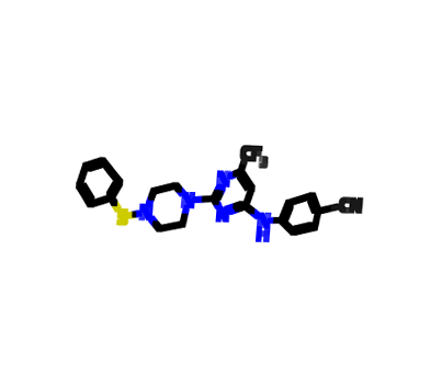 N#Cc1ccc(Nc2cc(C(F)(F)F)nc(N3CCN(Sc4ccccc4)CC3)n2)cc1